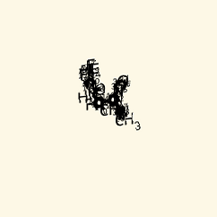 Cc1cc(F)c(NC(=O)N2CC[C@@H](C(F)(F)C(F)(F)F)C2)cc1-c1cc(-c2cnn(C)c2)nc(N2CCOCC2)c1